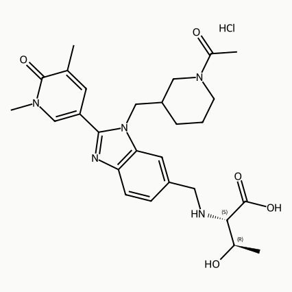 CC(=O)N1CCCC(Cn2c(-c3cc(C)c(=O)n(C)c3)nc3ccc(CN[C@H](C(=O)O)[C@@H](C)O)cc32)C1.Cl